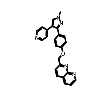 Cn1cc(-c2ccncc2)c(-c2ccc(OCc3ccc4cccnc4n3)cc2)n1